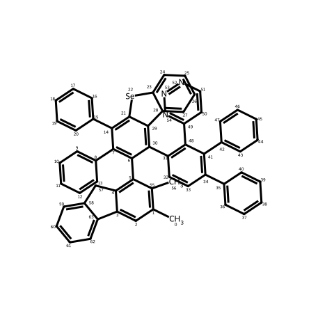 Cc1cc2c(c(-c3c(-c4ccccc4)c(-c4ccccc4)c4[se]c5ccccc5c4c3-c3ccc(-c4ccccc4)c(-c4ccccc4)c3-c3ccnnn3)c1C)Cc1ccccc1-2